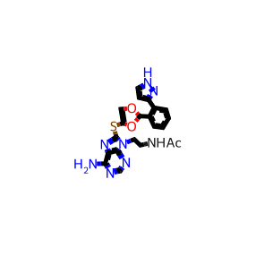 CC(=O)NCCn1c(SC2=COC(c3ccccc3-c3cc[nH]n3)O2)nc2c(N)ncnc21